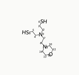 SCCN(CCS)CCN1CCOCC1